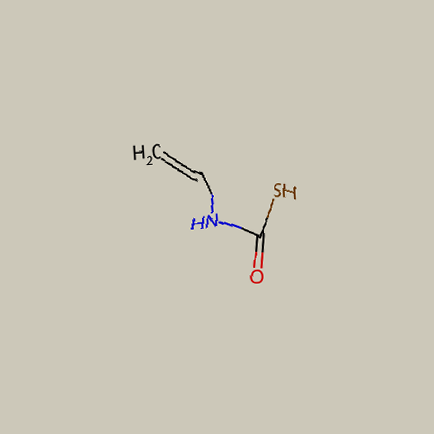 C=CNC(=O)S